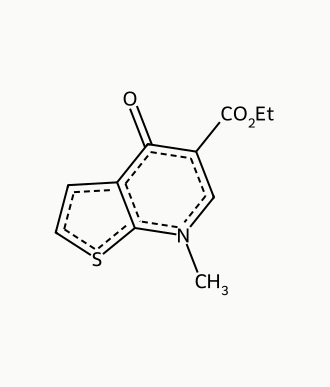 CCOC(=O)c1cn(C)c2sccc2c1=O